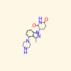 Cc1nn(C2CCC(=O)NC2=O)c2cccc(N3CCNCC3)c12